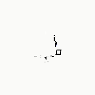 CCC/C=C/[C@@H]1CC[C@H]1COC(C)=O